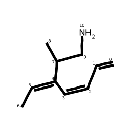 C=C/C=C\C(=C/C)C(C)CN